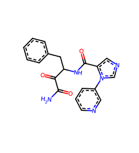 NC(=O)C(=O)C(Cc1ccccc1)NC(=O)c1cncn1-c1cccnc1